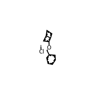 ClI.c1ccc(COc2cc3ccc2-3)cc1